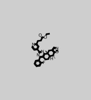 CCOC(=O)CCc1cc(-c2nc(-c3ccccc3F)c3c(n2)[C@]2(C)Cc4cnoc4[C@H](C)[C@H]2CC3)ccn1